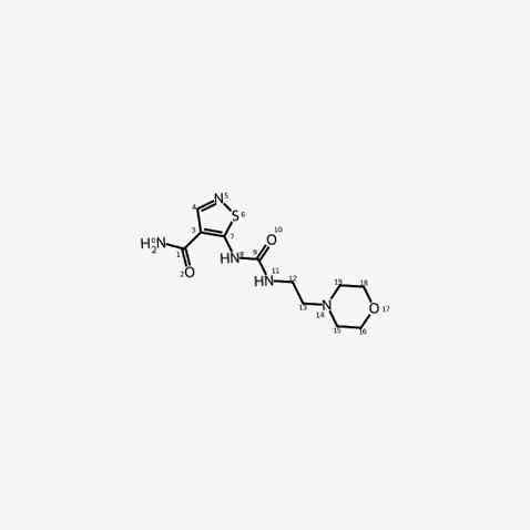 NC(=O)c1cnsc1NC(=O)NCCN1CCOCC1